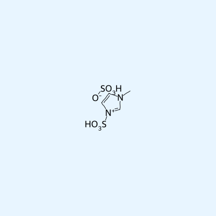 Cn1cc[n+](S(=O)(=O)O)c1.O=S(=O)([O-])O